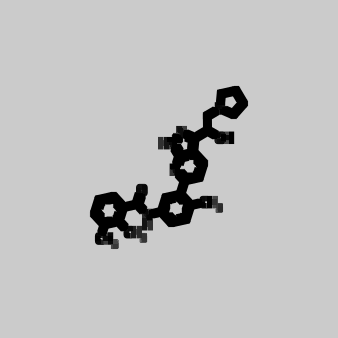 Cc1ccc(NC(=O)c2cccc(C)c2C)cc1-c1ccc2c(C(O)CN3CCCC3)n[nH]c2n1